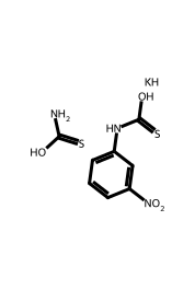 NC(O)=S.O=[N+]([O-])c1cccc(NC(O)=S)c1.[KH]